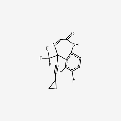 O=C1C=NC(C#CC2CC2)(C(F)(F)F)c2c(ccc(F)c2F)N1